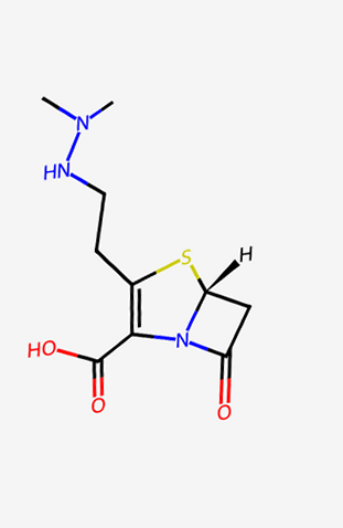 CN(C)NCCC1=C(C(=O)O)N2C(=O)C[C@H]2S1